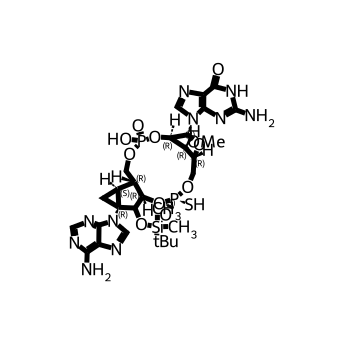 CO[C@H]1[C@H]2OP(=O)(O)OC[C@@H]3[C@@H](O[P@@](=O)(S)OC[C@H]1O[C@H]2n1cnc2c(=O)[nH]c(N)nc21)C(O[Si](C)(C)C(C)(C)C)[C@@]1(n2cnc4c(N)ncnc42)C[C@@H]31